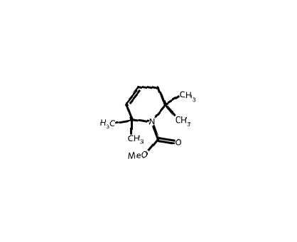 COC(=O)N1C(C)(C)C=CCC1(C)C